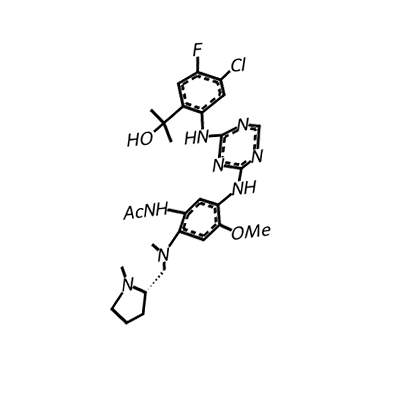 COc1cc(N(C)C[C@@H]2CCCN2C)c(NC(C)=O)cc1Nc1ncnc(Nc2cc(Cl)c(F)cc2C(C)(C)O)n1